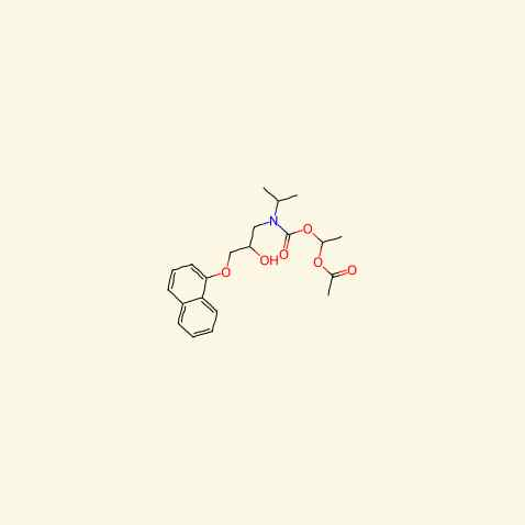 CC(=O)OC(C)OC(=O)N(CC(O)COc1cccc2ccccc12)C(C)C